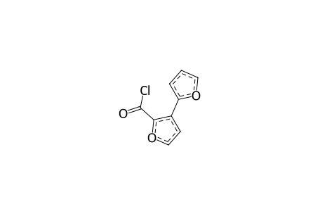 O=C(Cl)c1occc1-c1ccco1